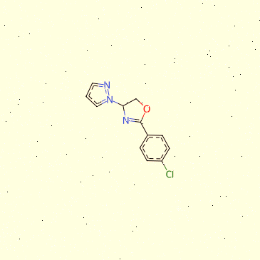 Clc1ccc(C2=NC(n3cccn3)CO2)cc1